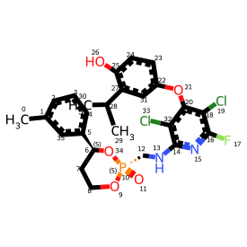 Cc1cccc([C@@H]2CCO[P@@](=O)(CNc3nc(F)c(Cl)c(Oc4ccc(O)c(C(C)C)c4)c3Cl)O2)c1